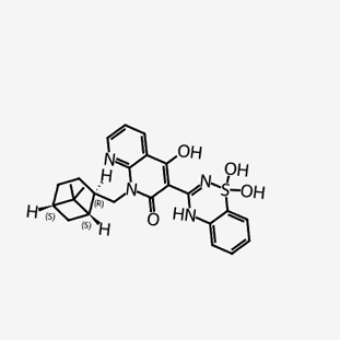 CC1(C)[C@H]2CC[C@@H](Cn3c(=O)c(C4=NS(O)(O)c5ccccc5N4)c(O)c4cccnc43)[C@@H]1C2